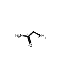 N[CH]C(N)=O